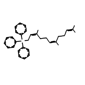 CC(C)=CCCC(C)=CCCC(C)=CC[P+](c1ccccc1)(c1ccccc1)c1ccccc1.[Cl-]